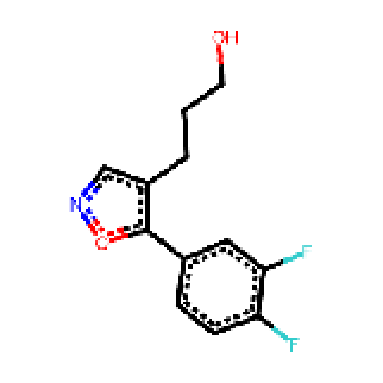 OCCCc1cnoc1-c1ccc(F)c(F)c1